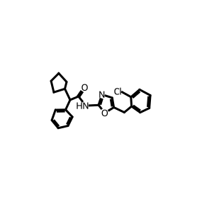 O=C(Nc1ncc(Cc2ccccc2Cl)o1)C(c1ccccc1)C1CCCC1